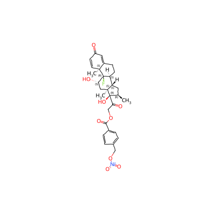 C[C@@H]1C[C@H]2[C@@H]3CCC4=CC(=O)C=C[C@]4(C)[C@@]3(F)[C@@H](O)C[C@]2(C)[C@@]1(O)C(=O)COC(=O)c1ccc(CO[N+](=O)[O-])cc1